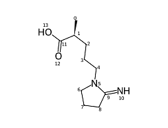 C[C@@H](CCCN1CCCC1=N)C(=O)O